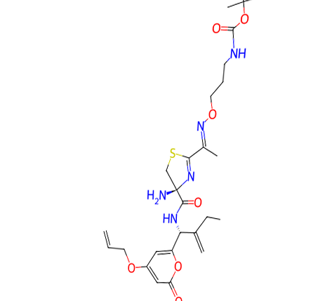 C=CCOc1cc([C@H](NC(=O)[C@]2(N)CSC(/C(C)=N/OCCCNC(=O)OC(C)(C)C)=N2)C(=C)CC)oc(=O)c1